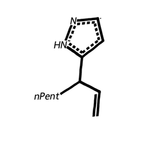 C=CC(CCCCC)c1c[c]n[nH]1